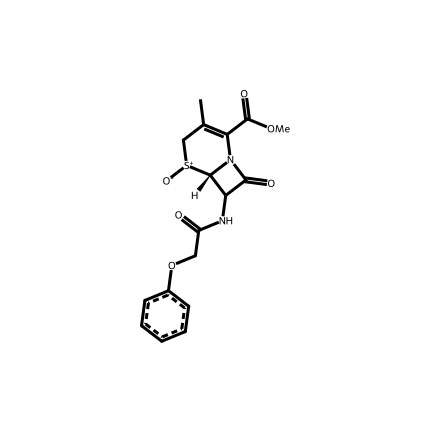 COC(=O)C1=C(C)C[S+]([O-])[C@H]2C(NC(=O)COc3ccccc3)C(=O)N12